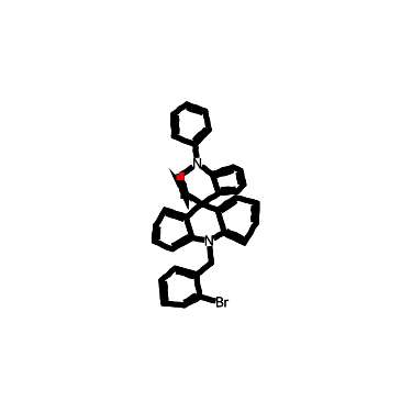 Brc1ccccc1CN1c2ccccc2C2(c3ccccc31)c1ccccc1N(c1ccccc1)c1ccccc12